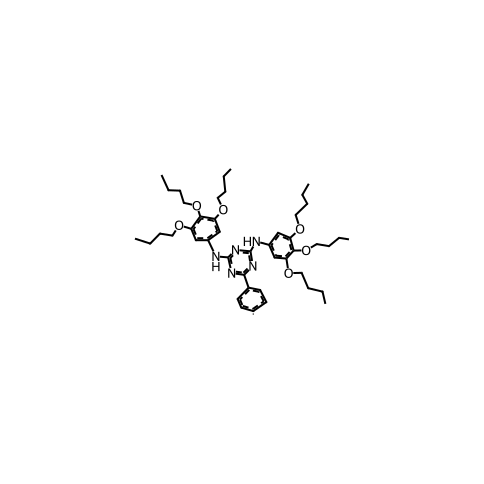 CCCCOc1cc(Nc2nc(Nc3cc(OCCCC)c(OCCCC)c(OCCCC)c3)nc(-c3cc[c]cc3)n2)cc(OCCCC)c1OCCCC